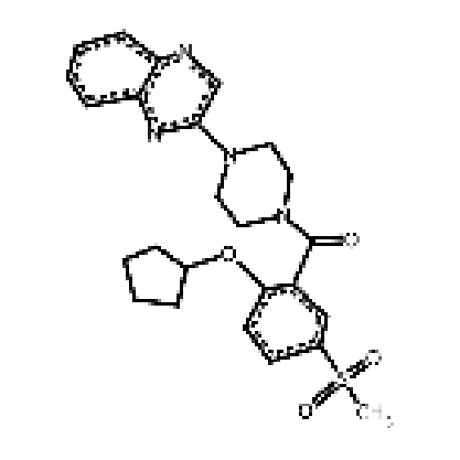 CS(=O)(=O)c1ccc(OC2CCCC2)c(C(=O)N2CCN(c3cnc4ccccc4n3)CC2)c1